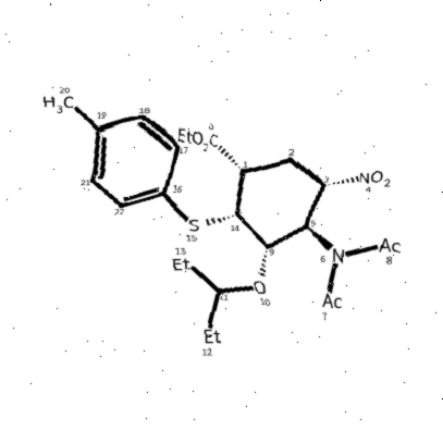 CCOC(=O)[C@@H]1C[C@H]([N+](=O)[O-])[C@@H](N(C(C)=O)C(C)=O)[C@H](OC(CC)CC)[C@@H]1Sc1ccc(C)cc1